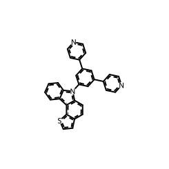 c1ccc2c(c1)c1c3sccc3ccc1n2-c1cc(-c2ccncc2)cc(-c2ccncc2)c1